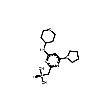 O=P(O)(O)Cc1nc(NC2CCOCC2)cc(N2CCCC2)n1